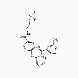 Cc1cccc(C2=Nc3cc(C(=O)NCCCC(F)(F)F)ccc3Sc3ccccc32)n1